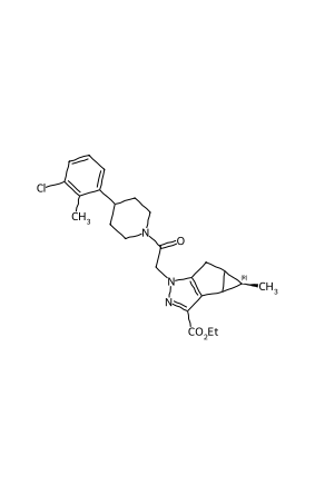 CCOC(=O)c1nn(CC(=O)N2CCC(c3cccc(Cl)c3C)CC2)c2c1C1C(C2)[C@H]1C